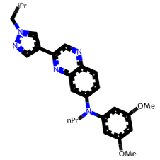 CCCN(c1cc(OC)cc(OC)c1)c1ccc2ncc(-c3cnn(CC(C)C)c3)nc2c1